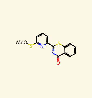 COSc1cccc(-c2nc(=O)c3ccccc3s2)n1